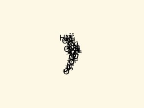 COC1CN(C2CCC([C@]3(C)Oc4c(C)c(C(=O)NCc5c(SC)cc(C)[nH]c5=O)c5cnn(C)c5c4O3)CC2)C1